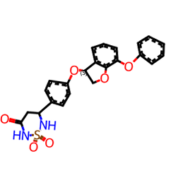 O=C1CC(c2ccc(O[C@@H]3COc4c(Oc5ccccc5)cccc43)cc2)NS(=O)(=O)N1